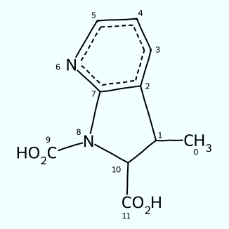 CC1c2cccnc2N(C(=O)O)C1C(=O)O